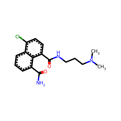 CN(C)CCCNC(=O)c1ccc(Cl)c2cccc(C(N)=O)c12